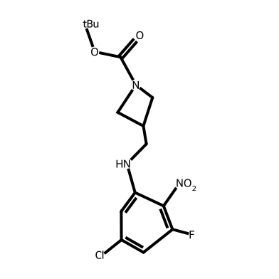 CC(C)(C)OC(=O)N1CC(CNc2cc(Cl)cc(F)c2[N+](=O)[O-])C1